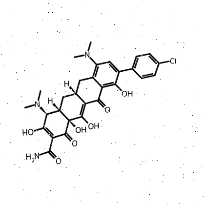 CN(C)c1cc(-c2ccc(Cl)cc2)c(O)c2c1C[C@H]1C[C@H]3[C@H](N(C)C)C(O)=C(C(N)=O)C(=O)[C@@]3(O)C(O)=C1C2=O